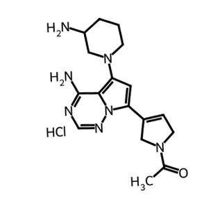 CC(=O)N1CC=C(c2cc(N3CCCC(N)C3)c3c(N)ncnn23)C1.Cl